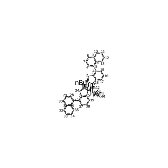 CCCCC1=Cc2c(-c3cccc4ccccc34)cccc2[CH]1[Hf]1([CH]2C(CCCC)=Cc3c(-c4cccc5ccccc45)cccc32)[CH2][CH2]1.Cl.Cl